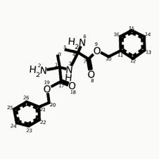 CC(N)(NC(C)(N)C(=O)OCc1ccccc1)C(=O)OCc1ccccc1